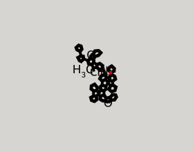 CC1(C)c2cc(N(c3ccccc3)c3ccc4c(c3)C3(c5ccccc5-c5ccccc53)c3cc5c(cc3-4)C3(c4ccccc4-c4ccccc43)c3ccc4oc6ccccc6c4c3-5)ccc2-c2c1cc(-c1cccc(-c3ccccc3)c1)c1oc3ccccc3c21